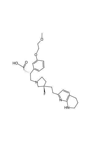 COCCOc1cccc([C@@H](CC(=O)O)CN2CC[C@](F)(CCc3ccc4c(n3)NCCC4)C2)c1